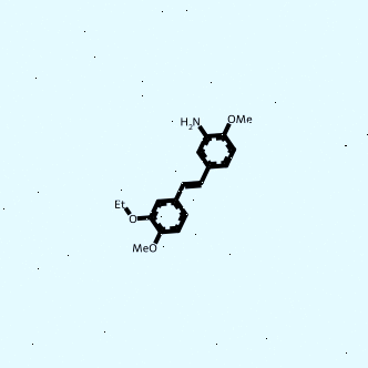 CCOc1cc(C=Cc2ccc(OC)c(N)c2)ccc1OC